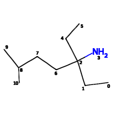 CCC(N)(CC)CCC(C)C